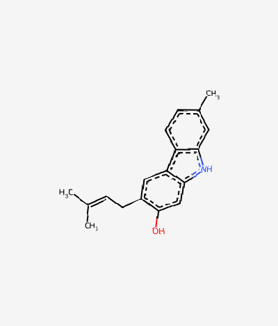 CC(C)=CCc1cc2c(cc1O)[nH]c1cc(C)ccc12